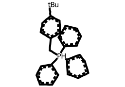 CC(C)(C)c1ccc(C[PH](c2ccccc2)(c2ccccc2)c2ccccc2)cc1